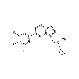 O[C@@H](Cn1ncc2ncc(-c3cc(F)c(F)c(F)c3)cc21)C1CC1